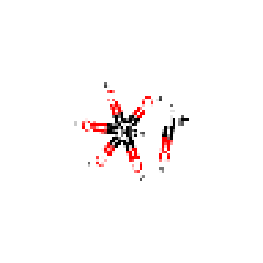 [O]=[InH].[O]=[Nb](=[O])(=[O])(=[O])=[O]